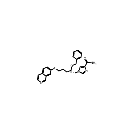 NC(=O)c1cn(C[C@H](CCCOc2ccc3ccncc3c2)OCc2ccccc2)cn1